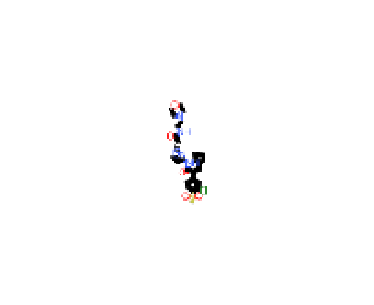 CS(=O)(=O)c1ccc(C(CC2CCCC2)C(=O)Nc2ccn(CCC(=O)NCCN3CCOCC3)n2)cc1Cl